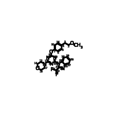 COCCc1ccc(Oc2nc(N3CCOCC3)nc(-n3c(C(F)F)nc4ccccc43)n2)cc1